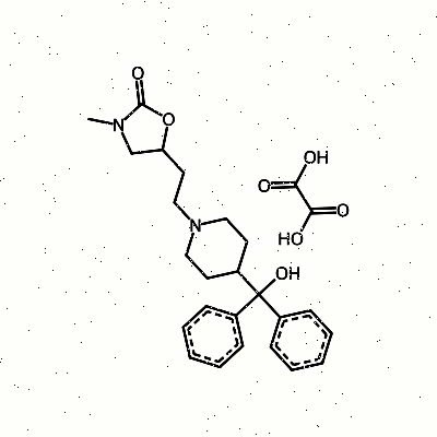 CN1CC(CCN2CCC(C(O)(c3ccccc3)c3ccccc3)CC2)OC1=O.O=C(O)C(=O)O